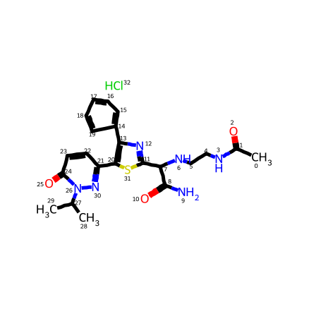 CC(=O)NCCNC(C(N)=O)c1nc(-c2ccccc2)c(-c2ccc(=O)n(C(C)C)n2)s1.Cl